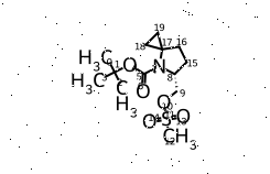 CC(C)(C)OC(=O)N1[C@@H](COS(C)(=O)=O)CCC12CC2